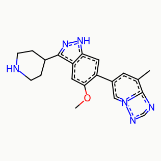 COc1cc2c(C3CCNCC3)n[nH]c2cc1-c1cc(C)c2ncnn2c1